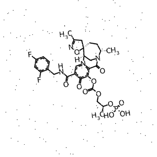 CC1=NO[C@@]2(CC[C@H](C)N3C[C@H]2n2cc(C(=O)NCc4ccc(F)cc4F)c(=O)c(OC(=O)OC[C@H](C)OP(=O)(O)O)c2C3=O)C1